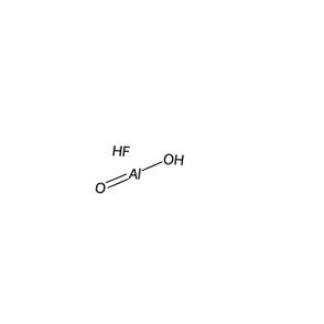 F.[O]=[Al][OH]